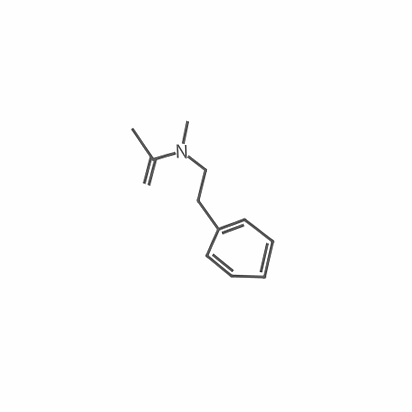 C=C(C)N(C)CCc1ccccc1